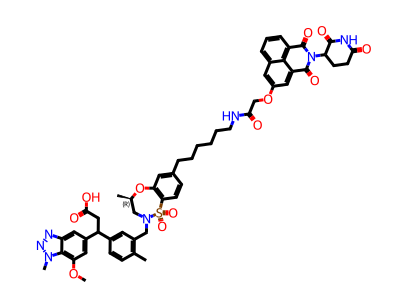 COc1cc(C(CC(=O)O)c2ccc(C)c(CN3C[C@@H](C)Oc4cc(CCCCCCNC(=O)COc5cc6c7c(cccc7c5)C(=O)N(C5CCC(=O)NC5=O)C6=O)ccc4S3(=O)=O)c2)cc2nnn(C)c12